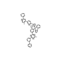 Cc1nc(-c2cccc(-c3ccccc3)c2)nc(-c2ccc3c(c2)C2(c4ccccc4-c4ccccc42)c2cccc(-c4ccc(-c5cc(-c6ccccc6)ncc5C)cn4)c2O3)n1